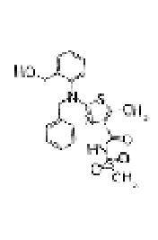 Cc1sc(N(Cc2ccccc2)c2ccccc2CO)nc1C(=O)NS(C)(=O)=O